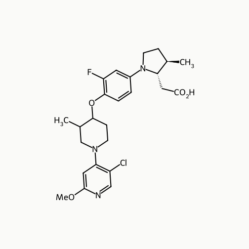 COc1cc(N2CCC(Oc3ccc(N4CC[C@@H](C)[C@@H]4CC(=O)O)cc3F)C(C)C2)c(Cl)cn1